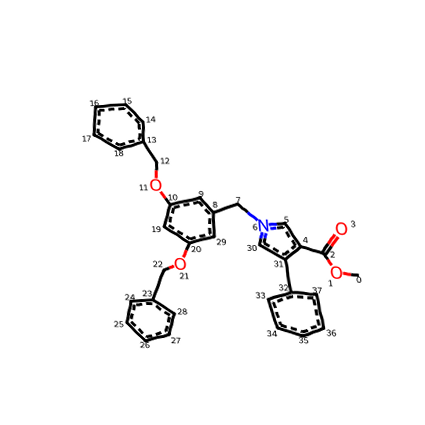 COC(=O)c1cn(Cc2cc(OCc3ccccc3)cc(OCc3ccccc3)c2)cc1-c1ccccc1